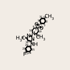 Cc1ccc(S(=O)(=O)N2CCN(c3nc(C)cc(Nc4ccc(F)cc4)n3)C(C)C2)cc1